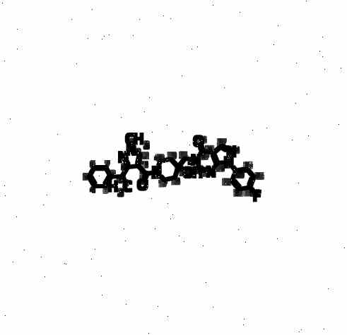 C[C@@H](c1ccccc1)c1nn(C)cc1C(=O)N1CCC(O)(Cn2cnc3c(cnn3-c3ccc(F)cc3)c2=O)CC1